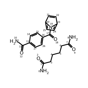 NC(=O)CCCCC(N)=O.NC(=O)c1ccc(C(=O)n2c3ccc2cc3)cc1